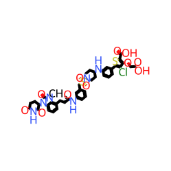 Cn1c(=O)n(C2CCC(=O)NC2=O)c2cccc(CCC(=O)Nc3cccc(CS(=O)(=O)N4CCC(Nc5cccc(-c6sc(C(=O)O)c(OCC(=O)O)c6Cl)c5)CC4)c3)c21